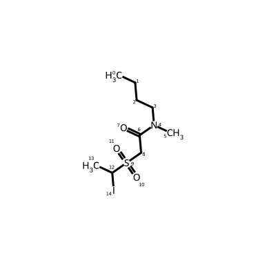 CCCCN(C)C(=O)CS(=O)(=O)C(C)I